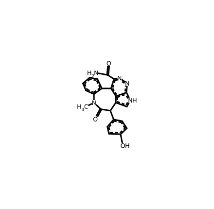 CN1C(=O)C(c2ccc(O)cc2)c2c[nH]c3nnc(C(N)=O)c(c23)-c2ccccc21